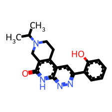 CC(C)N1CCc2c(c(=O)[nH]c3nnc(-c4ccccc4O)cc23)C1